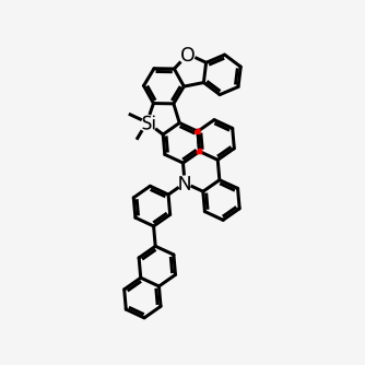 C[Si]1(C)c2cc(N(c3cccc(-c4ccc5ccccc5c4)c3)c3ccccc3-c3ccccc3)ccc2-c2c1ccc1oc3ccccc3c21